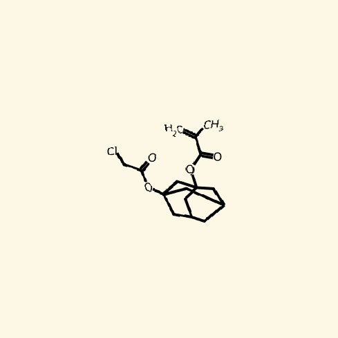 C=C(C)C(=O)OC12CC3CC(CC(OC(=O)CCl)(C3)C1)C2